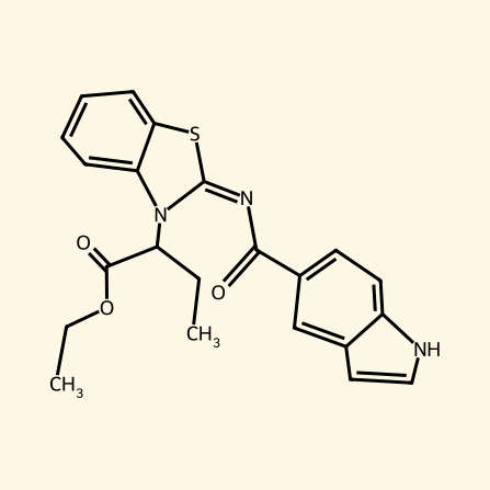 CCOC(=O)C(CC)n1/c(=N\C(=O)c2ccc3[nH]ccc3c2)sc2ccccc21